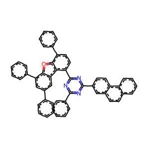 c1ccc(-c2cc(-c3ccccc3)c3oc4c(-c5ccccc5)ccc(-c5nc(-c6ccccc6)nc(-c6ccc7c(ccc8ccccc87)c6)n5)c4c3c2)cc1